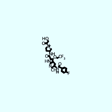 Cc1nc2[nH]c(C(=O)NC3CCN(C(=O)CO)CC3)c(OCC(F)(F)F)c2cc1NC(=O)c1ccc(F)cc1